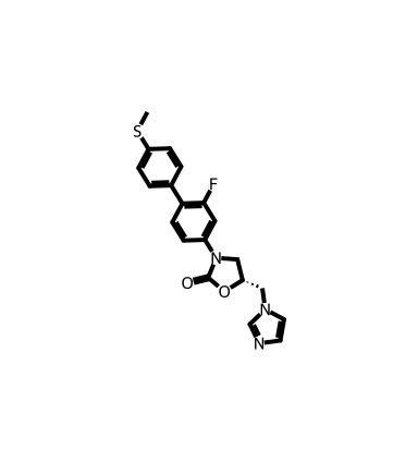 CSc1ccc(-c2ccc(N3C[C@H](Cn4ccnc4)OC3=O)cc2F)cc1